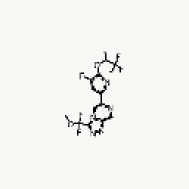 COC(F)(F)c1nnc2cnc(-c3cnc(OC(C)C(F)(F)F)c(F)c3)cn12